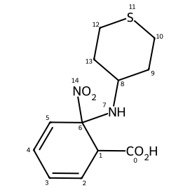 O=C(O)C1C=CC=CC1(NC1CCSCC1)[N+](=O)[O-]